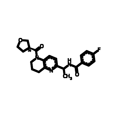 CC(NC(=O)c1ccc(F)cc1)c1ccc2c(n1)CCCN2C(=O)[C@H]1CCOC1